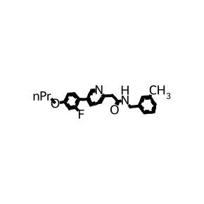 CCCOc1ccc(-c2ccc(CC(=O)NCc3cccc(C)c3)nc2)c(F)c1